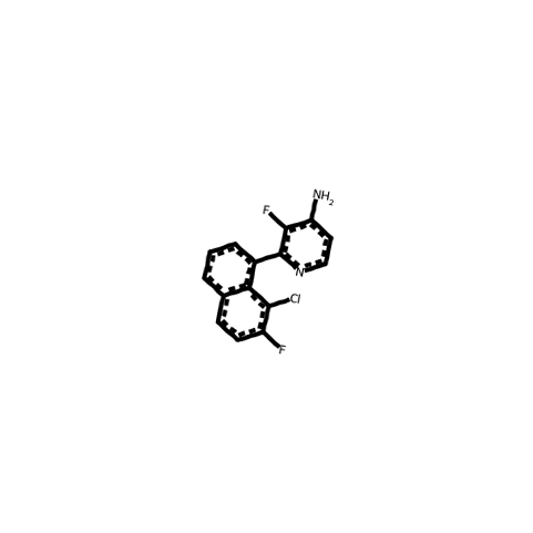 Nc1ccnc(-c2cccc3ccc(F)c(Cl)c23)c1F